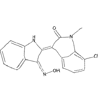 CN1C(=O)/C(=C2\Nc3ccccc3\C2=N\O)c2cccc(Cl)c21